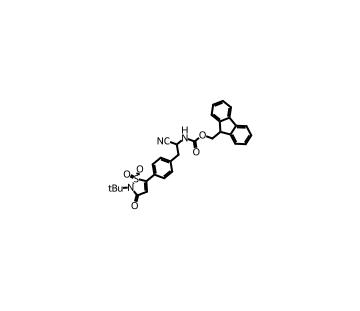 CC(C)(C)N1C(=O)C=C(c2ccc(CC(C#N)NC(=O)OCC3c4ccccc4-c4ccccc43)cc2)S1(=O)=O